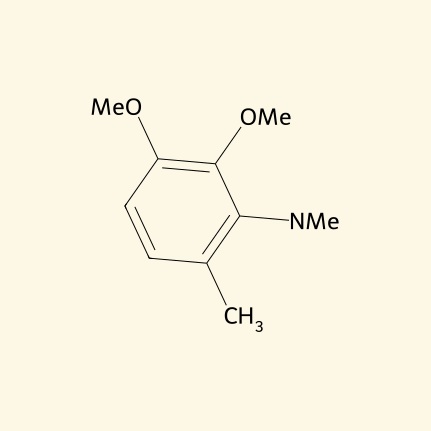 CNc1c(C)ccc(OC)c1OC